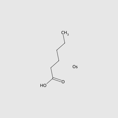 CCCCCC(=O)O.[Os]